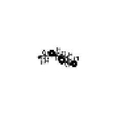 CCNC(=O)Nc1cccc(-c2nc3ccc4nc(Nc5c(Cl)cccc5Cl)n(C)c4c3c(=O)[nH]2)c1